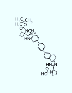 CN(C(=O)OC(C)(C)C)C1(c2nc3ccc(-c4ccc(-c5ccc6c(c5)CCc5nc(C7CCCN7C(=O)O)[nH]c5-6)cc4)cc3[nH]2)CCC1